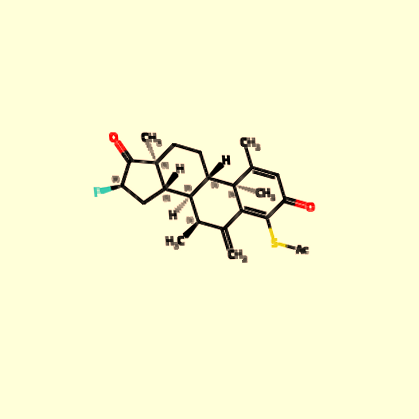 C=C1C2=C(SC(C)=O)C(=O)C=C(C)[C@]2(C)[C@H]2CC[C@]3(C)C(=O)[C@H](F)C[C@H]3[C@@H]2[C@@H]1C